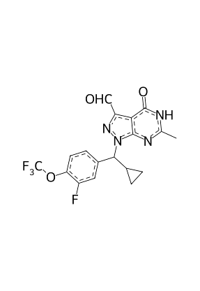 Cc1nc2c(c(C=O)nn2C(c2ccc(OC(F)(F)F)c(F)c2)C2CC2)c(=O)[nH]1